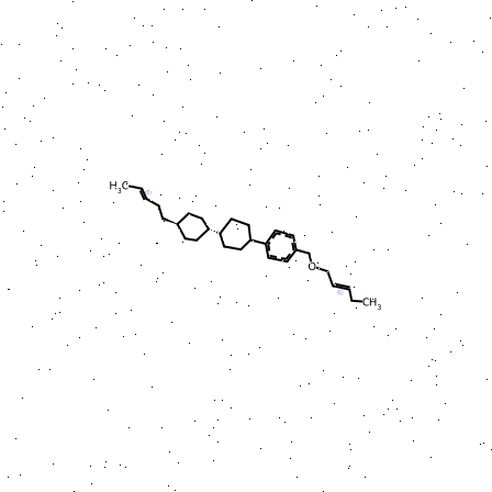 C/C=C/CC[C@H]1CC[C@H](C2CCC(c3ccc(COC/C=C/CC)cc3)CC2)CC1